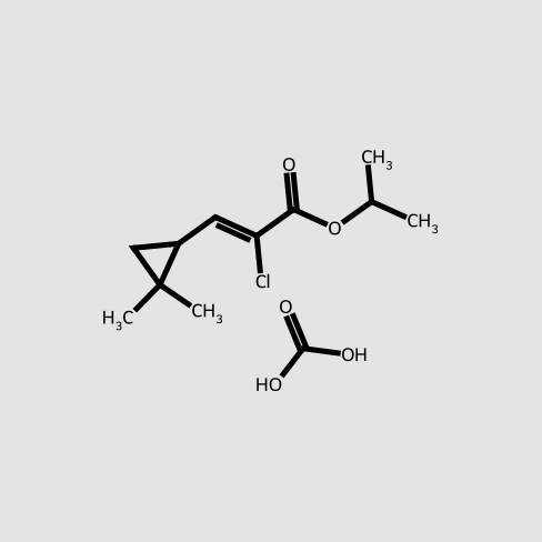 CC(C)OC(=O)C(Cl)=CC1CC1(C)C.O=C(O)O